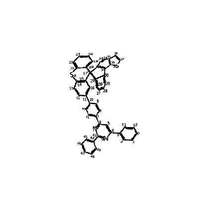 c1ccc(-c2cc(-c3ccc(-c4ccc5c(c4)C4(c6ccccc6S5)c5ccccc5-c5c4ccc4ccsc54)cc3)nc(-c3ccccc3)n2)cc1